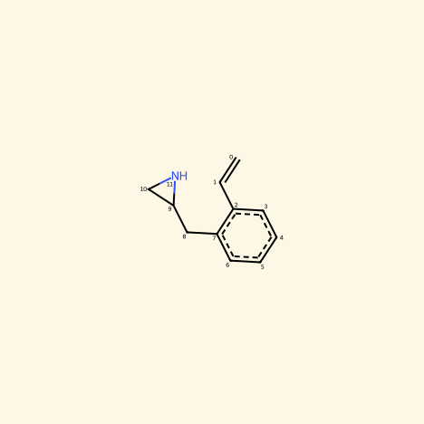 C=Cc1ccccc1CC1CN1